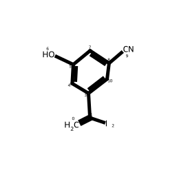 C=C(I)c1cc(O)cc(C#N)c1